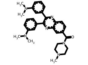 CN1CCN(C(=O)c2ccc3nc(-c4cccc(N(C)C)c4)c(-c4cccc(N(C)C)c4)nc3c2)CC1